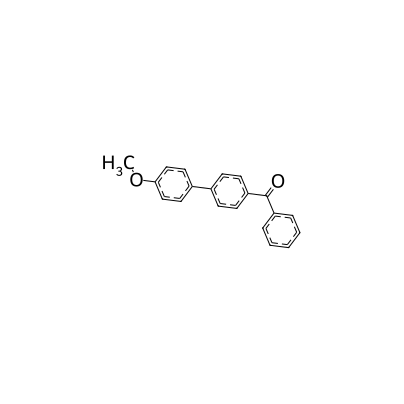 COc1ccc(-c2ccc(C(=O)c3ccccc3)cc2)cc1